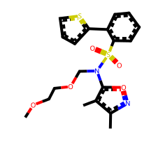 COCCOCN(c1onc(C)c1C)S(=O)(=O)c1ccccc1-c1cccs1